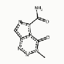 Cn1nnc2cnc(C(N)=O)n2c1=O